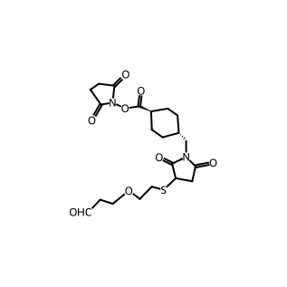 O=CCCOCCSC1CC(=O)N(C[C@H]2CC[C@H](C(=O)ON3C(=O)CCC3=O)CC2)C1=O